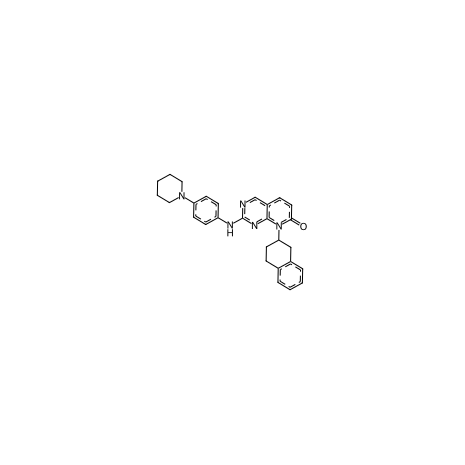 O=c1ccc2cnc(Nc3ccc(N4CCCCC4)cc3)nc2n1C1CCc2ccccc2C1